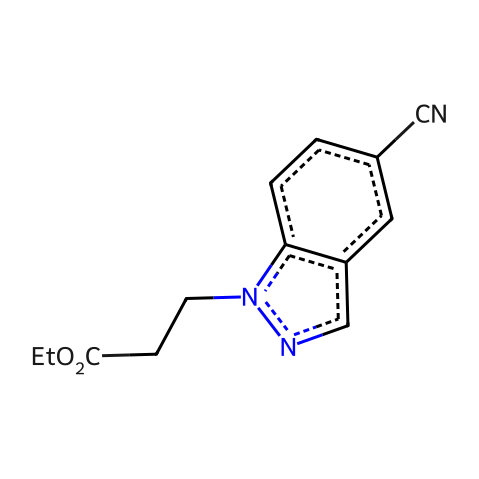 CCOC(=O)CCn1ncc2cc(C#N)ccc21